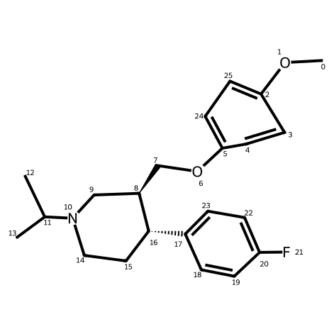 COc1ccc(OC[C@@H]2CN(C(C)C)CC[C@H]2c2ccc(F)cc2)cc1